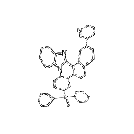 S=P(c1ccccc1)(c1ccccc1)c1ccc2c(c1)c1ccc3ccc(-c4cccnc4)cc3c1c1nc3ccccc3n21